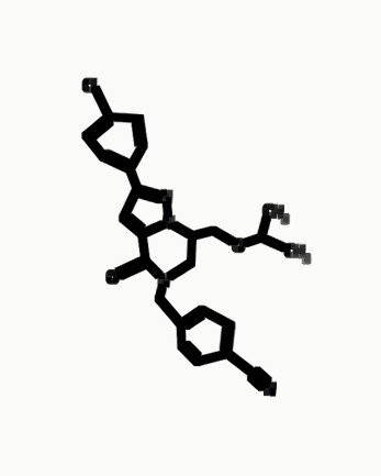 CC(C)OCC1CN(Cc2ccc(C#N)cc2)C(=O)c2cc(-c3ccc(Cl)cc3)nn21